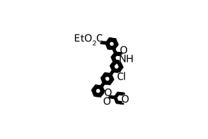 CCOC(=O)Cc1cccc(-c2cc3cc(-c4ccc(-c5ccccc5OC(=O)C5CCOCC5)cc4)c(Cl)cc3[nH]c2=O)c1